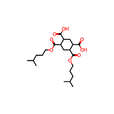 CC(C)CCCOC(=O)C1CC(C(=O)OCCCC(C)C)C(C(=O)O)CC1C(=O)O